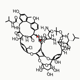 Cc1cc(O)cc2c1-c1cc(ccc1O)[C@@H]1NC(=O)[C@@H]3NC(=O)[C@H](CC(N)=O)NC(=O)[C@H](NC(=O)[C@@H](CC(C)C)N(C)C(=O)OC(C)(C)C)[C@H](O)c4ccc5c(c4)C(O)[C@H]4O[C@@H](Oc6c(cc3cc6O5)Oc3ccc(cc3Cl)[C@@H](O)[C@H](NC1=O)C(=O)N[C@@H]2C(=O)NC(C)C)[C@H](O)[C@@H](O)[C@@H]4O